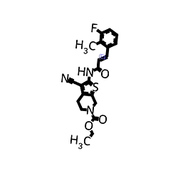 CCOC(=O)N1CCc2c(sc(NC(=O)/C=C/c3cccc(F)c3C)c2C#N)C1